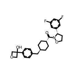 O=C([C@H]1CC[C@H](Cc2ccc(C3(O)COC3)cc2)CC1)N1OCC[C@H]1c1cc(F)cc(F)c1